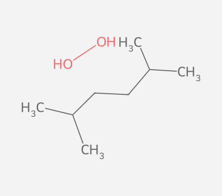 CC(C)CCC(C)C.OO